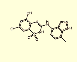 Cc1ccc(NC2=Nc3c(O)cc(Cl)cc3S(=O)(=O)N2)c2cn[nH]c12